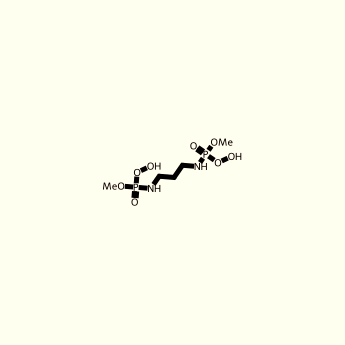 COP(=O)(NCCCNP(=O)(OC)OO)OO